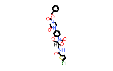 O=C(NC[C@@H]1OC(=O)N2c3ccc(N4CCN(C(=O)OCc5ccccc5)CC4=O)cc3OC[C@@H]12)c1ccc(Cl)s1